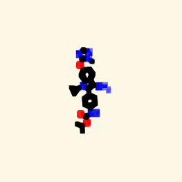 CC(C)OC(=O)Nc1ccc(-c2c(N)c3ccc(Oc4ncnn4C)cc3n2C2CC2)cc1